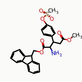 COC(=O)CC(c1ccc(OS(C)(=O)=O)cc1)C(N)C(=O)OCC1c2ccccc2-c2ccccc21